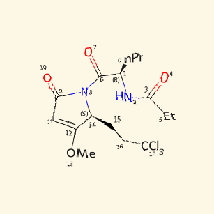 CCC[C@@H](NC(=O)CC)C(=O)N1C(=O)C=C(OC)[C@@H]1CCC(Cl)(Cl)Cl